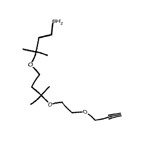 BCCC(C)(C)OCCC(C)(C)OCCOCC#C